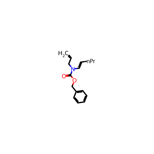 C=CCN(C=CCCC)C(=O)OCc1ccccc1